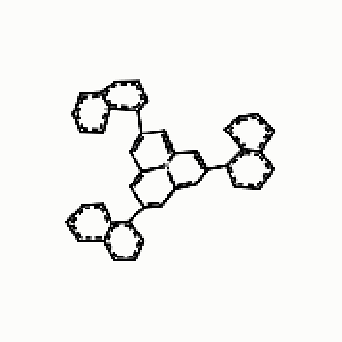 C1=C(c2cccc3ccccc23)C=C2C=C(c3cccc4ccccc34)C=C3C=C(c4cccc5ccccc45)C=C1N23